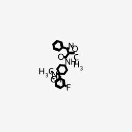 Cc1onc(-c2ccccc2)c1C(=O)NC1CCC(c2cccc(F)c2)(N(C)C)CC1